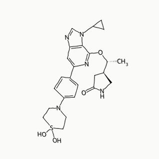 C[C@@H](Oc1nc(-c2ccc(N3CCS(O)(O)CC3)cc2)cc2ncn(C3CC3)c12)[C@H]1CNC(=O)C1